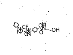 O=C(NCCCO)C(O)c1ccc(-c2noc(-c3cnn(-c4ccccc4)c3C(F)(F)F)n2)cc1